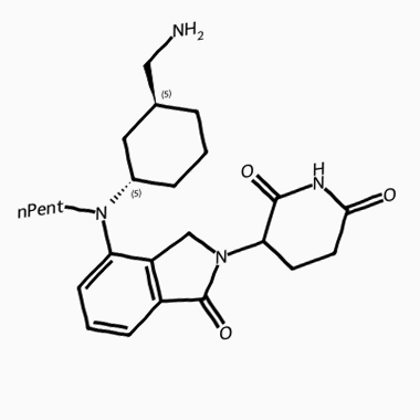 CCCCCN(c1cccc2c1CN(C1CCC(=O)NC1=O)C2=O)[C@H]1CCC[C@H](CN)C1